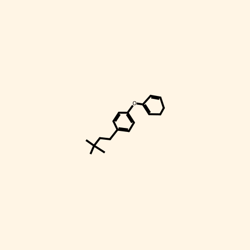 CC(C)(C)CCc1ccc(OC2=CCCC=C2)cc1